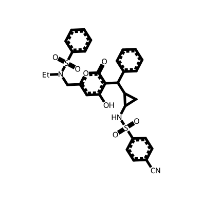 CCN(Cc1cc(O)c(C(c2ccccc2)C2CC2NS(=O)(=O)c2ccc(C#N)cc2)c(=O)o1)S(=O)(=O)c1ccccc1